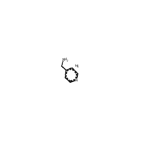 I.NCc1ccncc1